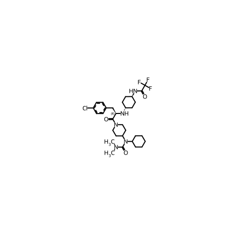 CN(C)C(=O)N(C1CCCCC1)C1CCN(C(=O)[C@@H](Cc2ccc(Cl)cc2)N[C@H]2CC[C@H](NC(=O)C(F)(F)F)CC2)CC1